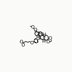 COCO[C@H]1CC[C@H]2[C@@H]3[C@H](c4ccc(OCCCC(=O)OC)cc4)C[C@H]4CC5(CC[C@]4(C)[C@H]3CC[C@]12C)OCCO5